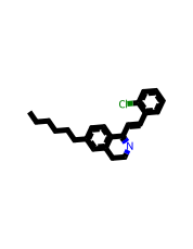 CCCCCCc1ccc2c(c1)CCN=C2C=Cc1ccccc1Cl